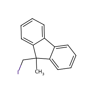 CC1(CI)c2ccccc2-c2ccccc21